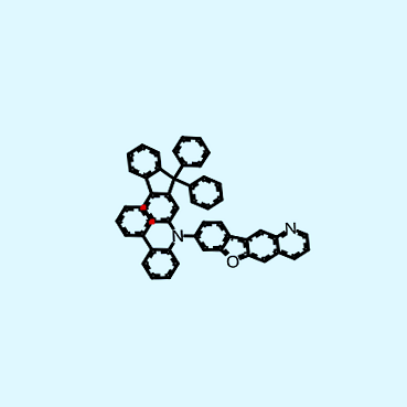 c1ccc(-c2ccccc2N(c2ccc3c(c2)C(c2ccccc2)(c2ccccc2)c2ccccc2-3)c2ccc3c(c2)oc2cc4cccnc4cc23)cc1